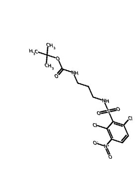 CC(C)(C)OC(=O)NCCCNS(=O)(=O)c1c(Cl)ccc([N+](=O)[O-])c1Cl